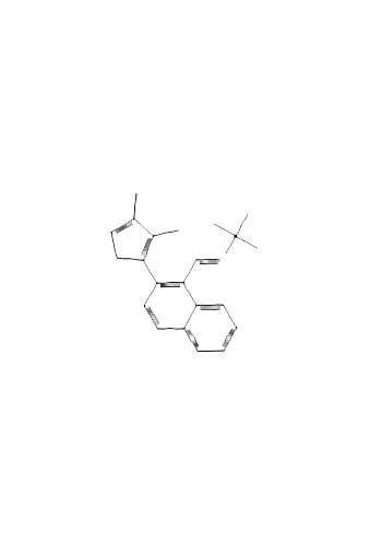 CC1=CCC(c2ccc3ccccc3c2C=NC(C)(C)C)=C1C